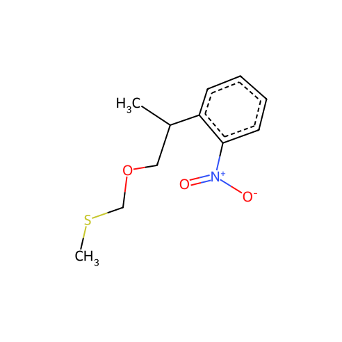 CSCOCC(C)c1ccccc1[N+](=O)[O-]